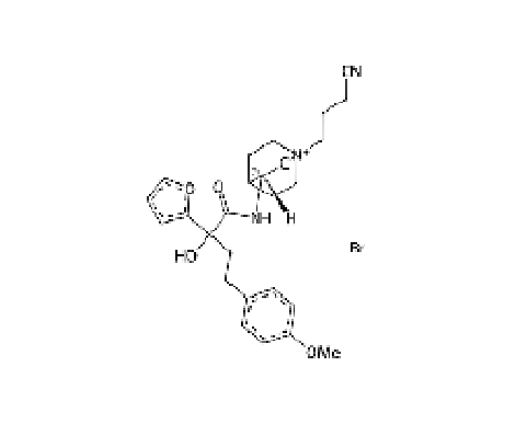 COc1ccc(CCC(O)(C(=O)N[C@H]2C[N+]3(CCCC#N)CCC2CC3)c2ccco2)cc1.[Br-]